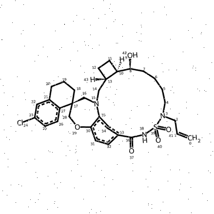 C=CCN1CCCC[C@H](O)[C@@H]2CC[C@H]2CN2C[C@@]3(CCCc4cc(Cl)ccc43)COc3ccc(cc32)C(=O)NS1(=O)=O